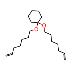 C=CCCCCCOC1(OCCCCCC=C)CCCCC1